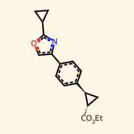 CCOC(=O)[C@H]1C[C@@H]1c1ccc(-c2coc(C3CC3)n2)cc1